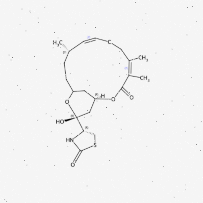 C/C1=C(\C)C(=O)O[C@@H]2CC(CC[C@H](C)/C=C\CC1)O[C@@](O)([C@@H]1CSC(=O)N1)C2